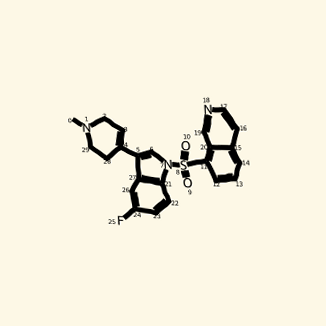 CN1CC=C(c2cn(S(=O)(=O)c3cccc4ccncc34)c3ccc(F)cc23)CC1